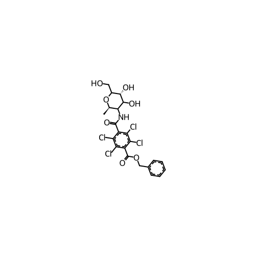 C[C@H]1OC(CO)[C@H](O)C(O)C1NC(=O)c1c(Cl)c(Cl)c(C(=O)OCc2ccccc2)c(Cl)c1Cl